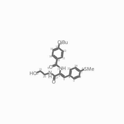 CSc1ccc(C=C(NC(=O)c2ccc(OCC(C)C)cc2)C(=O)NCCO)cc1